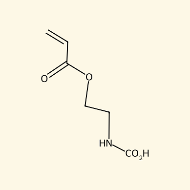 C=CC(=O)OCCNC(=O)O